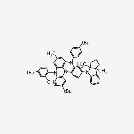 Cc1cc2c3c(c1)N(c1ccc(C(C)(C)C)cc1C)c1ccc(C(C)(C)C)cc1B3c1ccc(N3c4ccccc4C4(C)CCCC34C)cc1N2c1ccc(C(C)(C)C)cc1